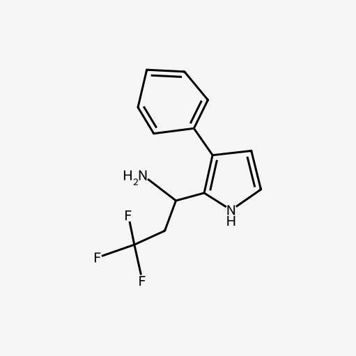 NC(CC(F)(F)F)c1[nH]ccc1-c1ccccc1